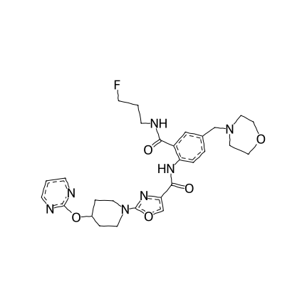 O=C(Nc1ccc(CN2CCOCC2)cc1C(=O)NCCCF)c1coc(N2CCC(Oc3ncccn3)CC2)n1